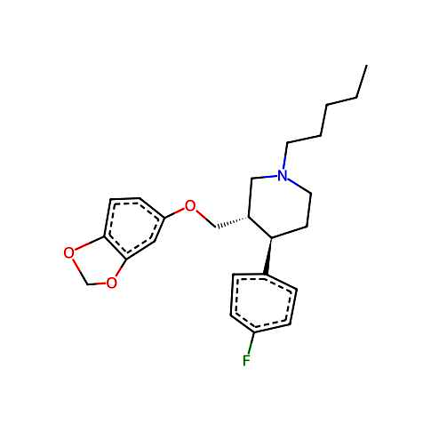 CCCCCN1CC[C@@H](c2ccc(F)cc2)[C@H](COc2ccc3c(c2)OCO3)C1